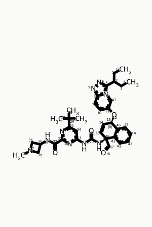 CCC(CC)c1nnc2ccc(O[C@@H]3C=C[C@](C=O)(NC(=O)Nc4cc(C(C)(C)C)nc(C(=O)NC5CN(C)C5)n4)c4ccccc43)cn12